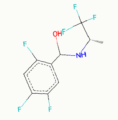 C[C@H](NC(O)c1cc(F)c(F)cc1F)C(F)(F)F